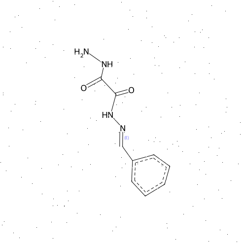 NNC(=O)C(=O)N/N=C/c1ccccc1